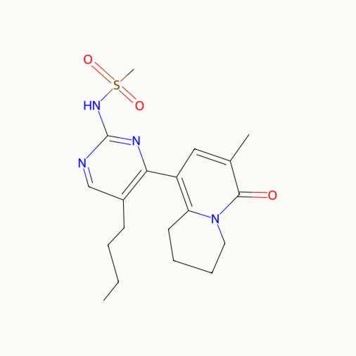 CCCCc1cnc(NS(C)(=O)=O)nc1-c1cc(C)c(=O)n2c1CCCC2